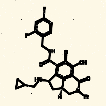 CCN1C[C@H]2C[C@@H](NCC3CC3)c3c(C(=O)NCc4ccc(F)cc4F)c(=O)c(O)c(n32)C1=O